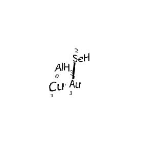 [AlH3].[Cu].[SeH][Au]